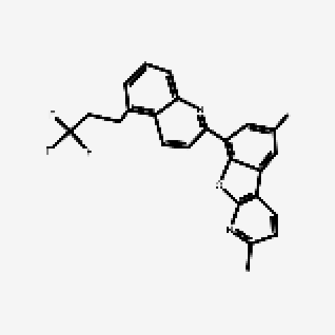 Cc1cc(-c2ccc3c(CCC(F)(F)F)cccc3n2)c2oc3nc(C)ccc3c2c1